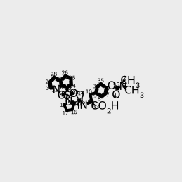 CN(C)C(=O)Oc1ccc(C[C@H](NC(=O)[C@@H]2CCCN2S(=O)(=O)c2cccc3cccnc23)C(=O)O)cc1